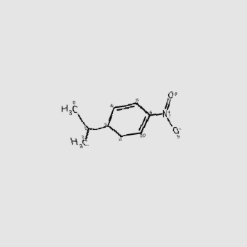 CC(C)C1C=CC([N+](=O)[O-])=CC1